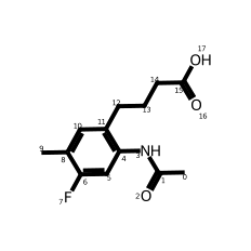 CC(=O)Nc1cc(F)c(C)cc1CCCC(=O)O